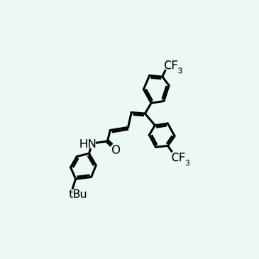 CC(C)(C)c1ccc(NC(=O)/C=C/C=C(c2ccc(C(F)(F)F)cc2)c2ccc(C(F)(F)F)cc2)cc1